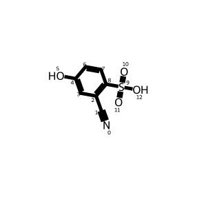 N#Cc1cc(O)ccc1S(=O)(=O)O